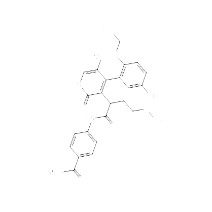 COC(=O)c1ccc(NC(=O)C(CCOC(C)(C)C)c2c(-c3cc(Cl)ccc3OCC(F)(F)F)c(OC)c[nH]c2=O)cc1